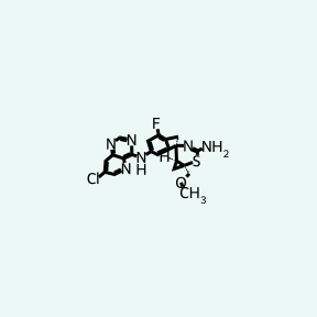 COC[C@]12C[C@H]1[C@]1(Cc3c(F)cc(Nc4ncnc5cc(Cl)cnc45)cc31)N=C(N)S2